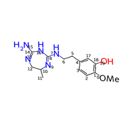 COc1ccc(CCNC2=NC(C)CN=C(N)N2)cc1O